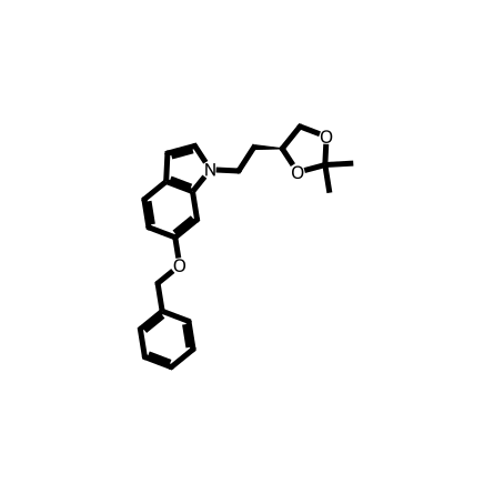 CC1(C)OC[C@H](CCn2ccc3ccc(OCc4ccccc4)cc32)O1